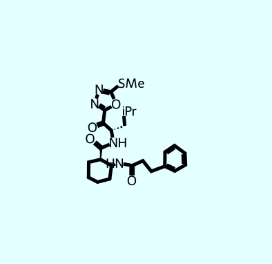 CSc1nnc(C(=O)[C@H](CC(C)C)NC(=O)[C@@H]2CCCC[C@@H]2NC(=O)CCc2ccccc2)o1